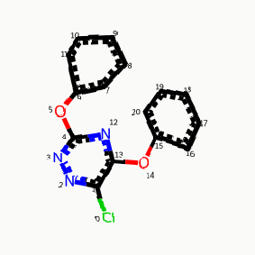 Clc1nnc(Oc2ccccc2)nc1Oc1ccccc1